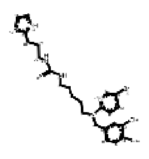 S=C(NCCCCCN(Cc1ccc(Cl)c(Cl)c1)c1ccc(Br)cn1)NCCCc1ncc[nH]1